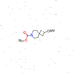 COC1CC2(CCN(C(=O)OC(C)(C)C)CC2)C1